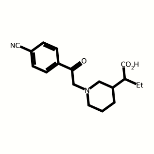 CCC(C(=O)O)C1CCCN(CC(=O)c2ccc(C#N)cc2)C1